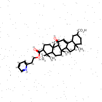 CC12CCC(C(=O)O)CC1C1=CC(=O)C3C(C)(CCC4C(C)(C)C(C(=O)OCCc5ccccn5)CCC43C)C1CC2